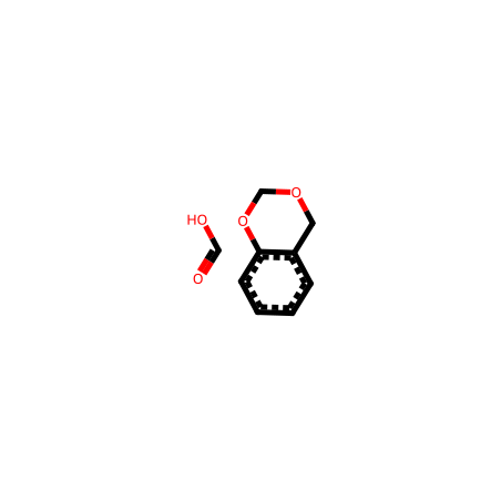 O=CO.c1ccc2c(c1)COCO2